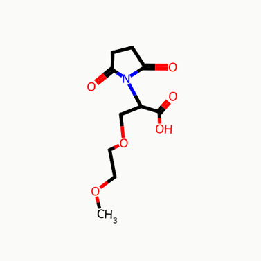 COCCOCC(C(=O)O)N1C(=O)CCC1=O